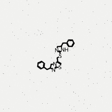 C1=C(CSC2=NCC(Cc3ccccc3)N2)N2CC(Cc3ccccc3)N=C2S1